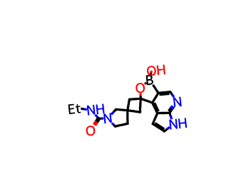 CCNC(=O)N1CCC2(C1)CC1(C2)OB(O)c2cnc3[nH]ccc3c21